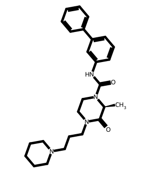 C[C@H]1C(=O)N(CCCN2CCCCC2)CCN1C(=O)Nc1cccc(-c2ccccc2)c1